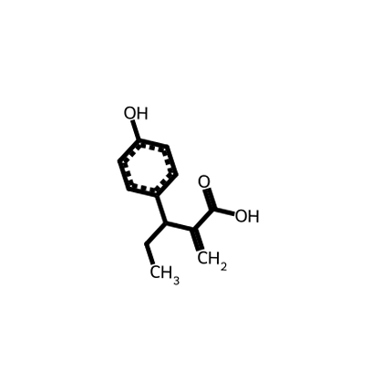 C=C(C(=O)O)C(CC)c1ccc(O)cc1